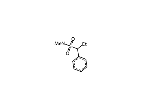 CCC(c1ccccc1)S(=O)(=O)[N]C